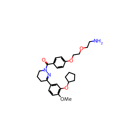 COc1ccc(C2=NN(C(=O)c3ccc(OCCOCCN)cc3)CCC2)cc1OC1CCCC1